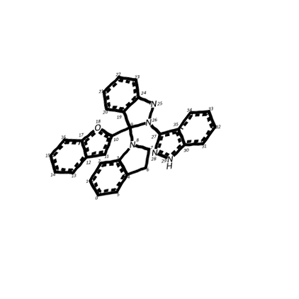 c1ccc2c(c1)CCN2C1(c2cc3ccccc3o2)c2ccccc2[N]N1c1n[nH]c2ccccc12